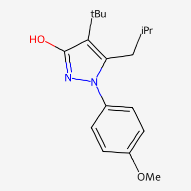 COc1ccc(-n2nc(O)c(C(C)(C)C)c2CC(C)C)cc1